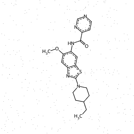 CCC1CCN(c2nc3cc(OC)c(NC(=O)c4ccncn4)cc3s2)CC1